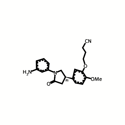 COc1ccc([C@H]2CC(=O)N(c3cccc(N)c3)C2)cc1OCCCC#N